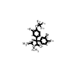 CN1C(=O)C(c2ccc(OC(F)(F)F)c(F)c2)(c2ccc(F)c(Br)c2)N=C1N